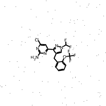 Nc1nc(Cl)cc(-c2nn(C(F)F)cc2Cc2ccccc2OC(F)(F)F)n1